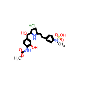 COC(=O)Nc1ccc(C(O)C2CCC(CCc3ccc(N(C)S(=O)(=O)O)cc3)N2)cc1O.Cl